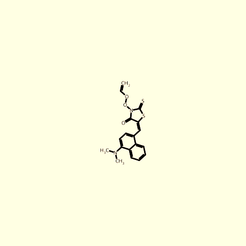 C=COON1C(=O)/C(=C\c2ccc(N(C)C)c3ccccc23)SC1=S